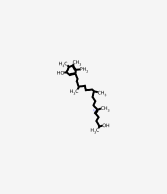 CC1=C(P)C(CCC(C)CCCC(C)CCC/C(C)=C/CCC(C)O)=CC(O)C1C